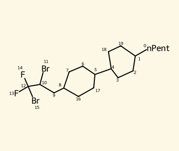 CCCCCC1CCC(C2CCC(CC(Br)C(F)(F)Br)CC2)CC1